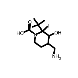 CC(C)(C)C1(I)C(O)C(CN)CCN1C(=O)O